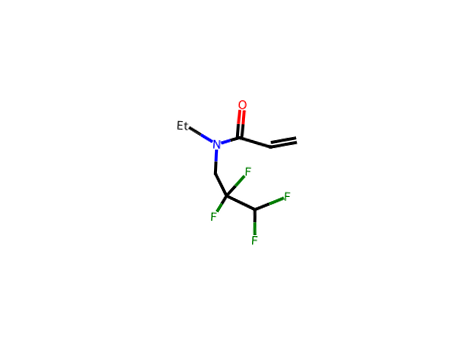 C=CC(=O)N(CC)CC(F)(F)C(F)F